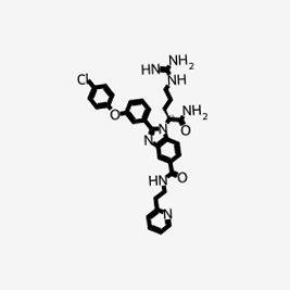 N=C(N)NCCC[C@@H](C(N)=O)n1c(-c2cccc(Oc3ccc(Cl)cc3)c2)nc2cc(C(=O)NCCc3ccccn3)ccc21